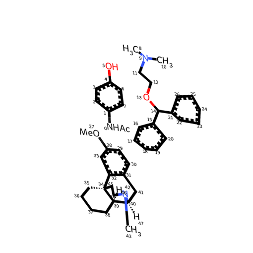 CC(=O)Nc1ccc(O)cc1.CN(C)CCOC(c1ccccc1)c1ccccc1.COc1ccc2c(c1)[C@]13CCCC[C@@H]1[C@H](C2)N(C)CC3